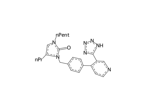 CCCCCn1cc(CCC)n(Cc2ccc(-c3ccncc3-c3nnn[nH]3)cc2)c1=O